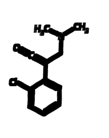 CN(C)CC(=C=O)c1ccccc1Cl